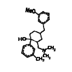 COc1cccc(CC2CCC(O)(c3cccc(C)c3)C(CN(C)C)C2)c1